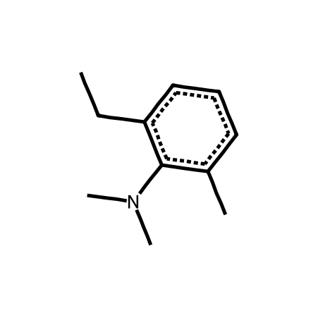 CCc1cccc(C)c1N(C)C